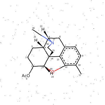 CC(=O)OC1CC[C@@H]2[C@@H]3Cc4ccc(C)c5c4[C@]2(CCN3C)[C@@H]1O5